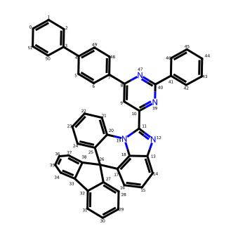 c1ccc(-c2ccc(-c3cc(-c4nc5cccc6c5n4-c4ccccc4C64c5ccccc5-c5ccccc54)nc(-c4ccccc4)n3)cc2)cc1